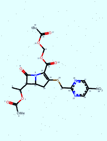 COC(=O)OC(C)C1C(=O)N2C(C(=O)OCOC(=O)C(C)(C)C)=C(SCc3ncc([N+](=O)[O-])cn3)CC12